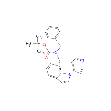 CC(C)(C)OC(=O)N(Cc1ccccc1)Cc1cccc2ccn(-c3ccncc3)c12